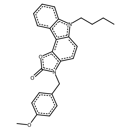 CCCCn1c2ccccc2c2c3oc(=O)n(Cc4ccc(OC)cc4)c3ccc21